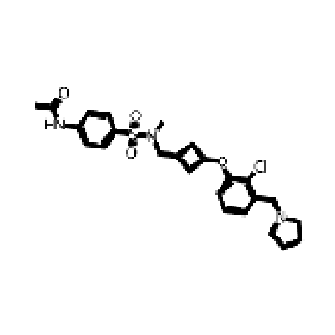 CC(=O)Nc1ccc(S(=O)(=O)N(C)CC2CC(Oc3cccc(CN4CCCC4)c3Cl)C2)cc1